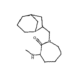 CNC1CCCCN(CC2CC3CCCC2C3)C1=O